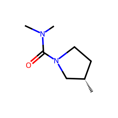 C[C@H]1CCN(C(=O)N(C)C)C1